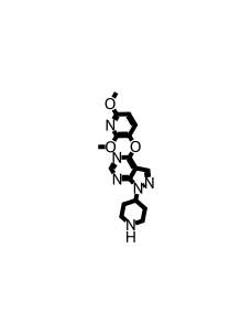 COc1ccc(Oc2ncnc3c2cnn3C2CCNCC2)c(OC)n1